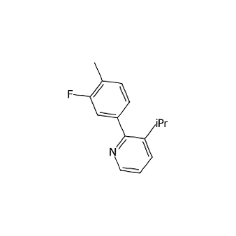 Cc1ccc(-c2ncccc2C(C)C)cc1F